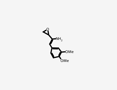 COc1ccc(C=C(N)C2CO2)cc1OC